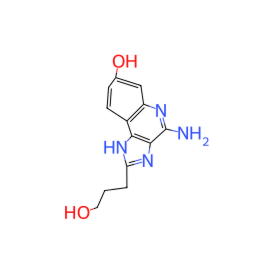 Nc1nc2cc(O)ccc2c2[nH]c(CCCO)nc12